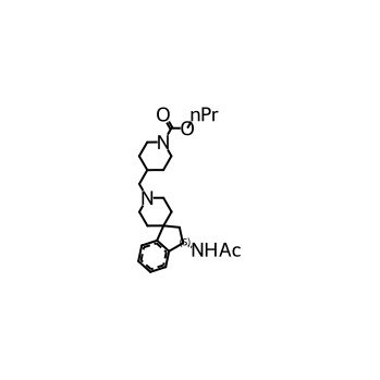 CCCOC(=O)N1CCC(CN2CCC3(CC2)C[C@H](NC(C)=O)c2ccccc23)CC1